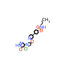 CCCCNS(=O)(=O)c1ccc(-c2ccnc(O[C@@H]3CCN(c4cn[nH]c(=O)c4Cl)C3)c2)cc1